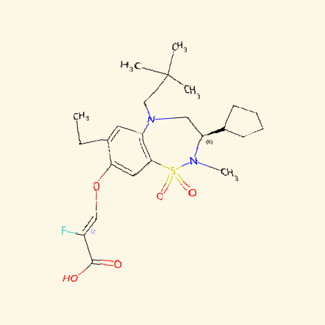 CCc1cc2c(cc1O/C=C(\F)C(=O)O)S(=O)(=O)N(C)[C@H](C1CCCC1)CN2CC(C)(C)C